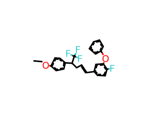 CCOc1ccc(C(CC=Cc2ccc(F)c(Oc3ccccc3)c2)C(F)(F)F)cc1